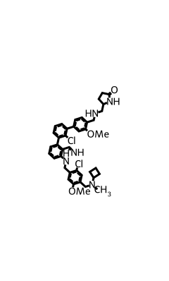 COc1cc(-c2cccc(-c3cccc(NCc4cc(OC)c(CN(C)C5CCC5)cc4Cl)c3C=N)c2Cl)ccc1CNCC1CCC(=O)N1